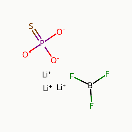 FB(F)F.[Li+].[Li+].[Li+].[O-]P([O-])([O-])=S